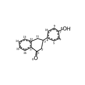 O=C1CC(c2ccc(O)cc2)Cc2ccccc21